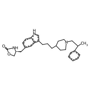 CC(CN1CCC(CCCc2c[nH]c3ccc(C[C@H]4COC(=O)N4)cc23)CC1)c1ccccc1